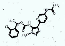 CC(=O)Nc1ccc(-c2nnn(C)c2NC(=O)O[C@H](C)c2ccccc2Cl)nc1